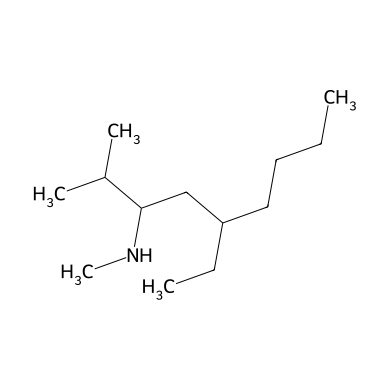 CCCCC(CC)CC(NC)C(C)C